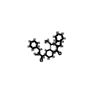 CC(C)Cn1c(C(=O)N2CCC(C(=O)N(C)Cc3ccccc3)CC2)cc2ccccc21